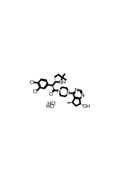 C[C@@H]1C[C@@H](O)c2ncnc(N3CCN(C(=O)[C@@H](c4ccc(Cl)c(Cl)c4)[C@@H]4CCC(C)(C)N4)CC3)c21.Cl.Cl